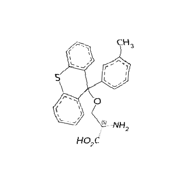 Cc1cccc(C2(OC[C@H](N)C(=O)O)c3ccccc3Sc3ccccc32)c1